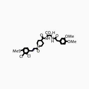 COc1ccc(CC(=O)NC[C@H](NC(=O)C2CCN(C(=O)/C=C/c3ccc(SC)c(Cl)c3Cl)CC2)C(=O)O)cc1OC